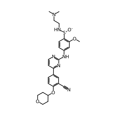 COc1cc(Nc2nccc(-c3ccc(OC4CCOCC4)c(C#N)c3)n2)ccc1[S+]([O-])NCCN(C)C